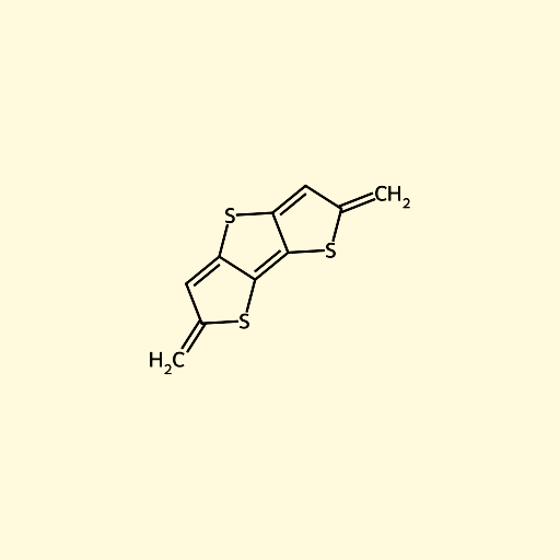 C=c1cc2sc3cc(=C)sc3c2s1